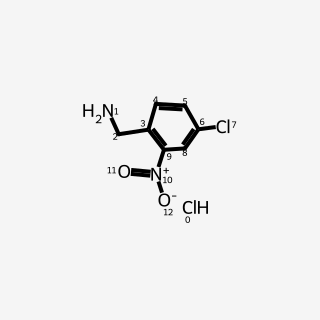 Cl.NCc1ccc(Cl)cc1[N+](=O)[O-]